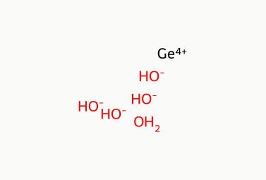 O.[Ge+4].[OH-].[OH-].[OH-].[OH-]